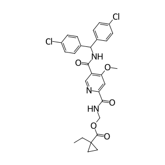 CCC1(C(=O)OCNC(=O)c2cc(OC)c(C(=O)NC(c3ccc(Cl)cc3)c3ccc(Cl)cc3)cn2)CC1